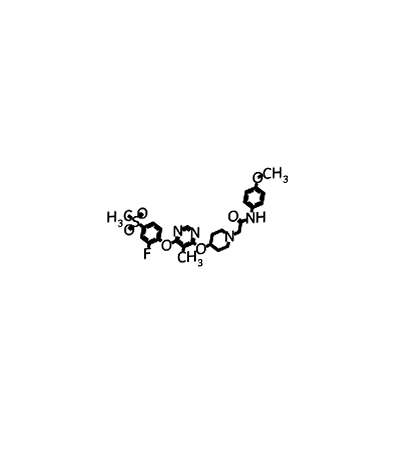 COc1ccc(NC(=O)CN2CCC(Oc3ncnc(Oc4ccc(S(C)(=O)=O)cc4F)c3C)CC2)cc1